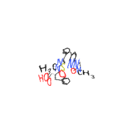 CN1CCN(c2ccc(-c3ccccc3-c3csc(N(C)C(=O)[C@@H](CC(=O)O)Cc4ccccc4)n3)cn2)C1=O